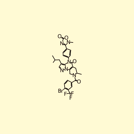 CC(C)Cc1cnn2c3c(c(=O)n(-c4ccc(-c5nc(=O)on5C)cc4)c12)CC(C)N(C(=O)c1ccc(Br)c(C(F)(F)F)c1)C3